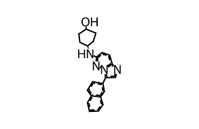 O[C@H]1CC[C@H](Nc2ccc3ncc(-c4ccc5ccccc5c4)n3n2)CC1